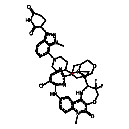 Cn1nc(C2CCC(=O)NC2=O)c2cccc(N3CCC(CN4C5COCC4CN(c4ncc(Cl)c(Nc6ccc7c(c6)c6c(c(=O)n7C)OCC(F)(F)C(C7CC7)N6)n4)C5)CC3)c21